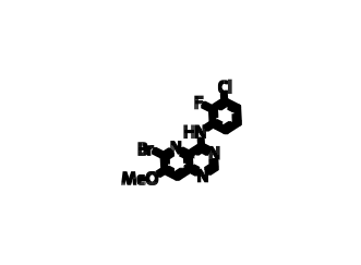 COc1cc2ncnc(Nc3cccc(Cl)c3F)c2nc1Br